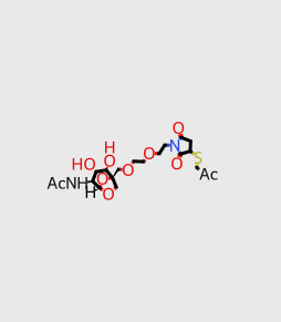 CC(=O)CSC1CC(=O)N(CCOCCOC[C@@]23CO[C@H](O2)[C@@H](NC(C)=O)[C@@H](O)[C@H]3O)C1=O